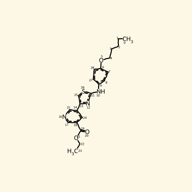 CCCCCOc1ccc(Nc2nc(-c3cncc(C(=O)OCC)c3)cs2)cc1